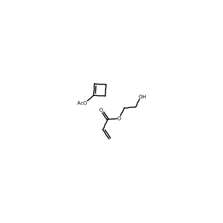 C=CC(=O)OCCO.CC(=O)OC1=CCC1